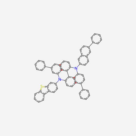 c1ccc(-c2ccc(N(c3ccc4cc(-c5ccccc5)ccc4c3)c3ccccc3-c3ccccc3N(c3cccc(-c4ccccc4)c3)c3ccc4c(c3)sc3ccccc34)cc2)cc1